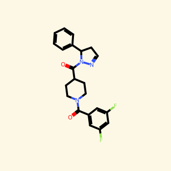 O=C(c1cc(F)cc(F)c1)N1CCC(C(=O)N2N=CCC2c2ccccc2)CC1